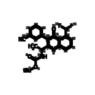 C[C@H](NC(=O)OC(C)(C)C)c1nc2cccc(C(F)F)c2c(=O)n1-c1cccc(C#N)c1